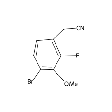 COc1c(Br)ccc(CC#N)c1F